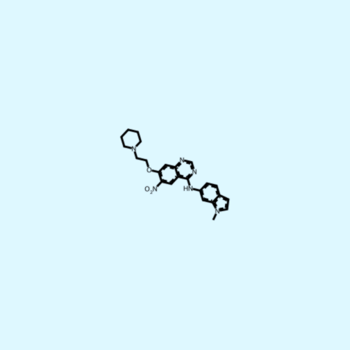 Cn1ccc2ccc(Nc3ncnc4cc(OCCN5CCCCC5)c([N+](=O)[O-])cc34)cc21